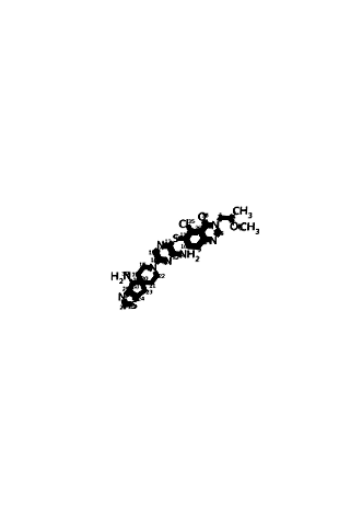 COC(C)Cn1cnc2ccc(Sc3ncc(N4CCC5(CC4)Cc4scnc4[C@H]5N)nc3N)c(Cl)c2c1=O